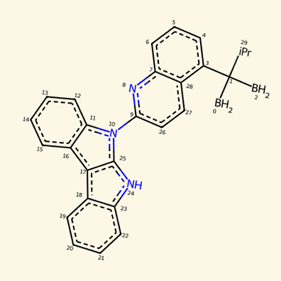 BC(B)(c1cccc2nc(-n3c4ccccc4c4c5ccccc5[nH]c43)ccc12)C(C)C